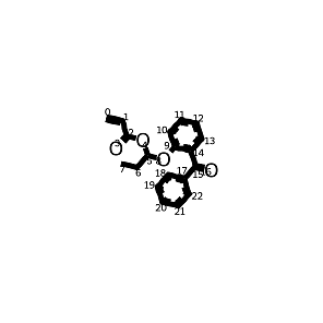 C=CC(=O)OC(CC)Oc1ccccc1C(=O)c1ccccc1